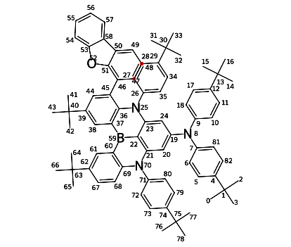 CC(C)(C)c1ccc(N(c2ccc(C(C)(C)C)cc2)c2cc3c4c(c2)N(c2ccc(C(C)(C)C)cc2)c2c(cc(C(C)(C)C)cc2-c2cccc5c2oc2ccccc25)B4c2cc(C(C)(C)C)ccc2N3c2ccc(C(C)(C)C)cc2)cc1